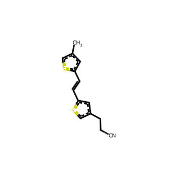 Cc1csc(C=Cc2cc(CCC#N)cs2)c1